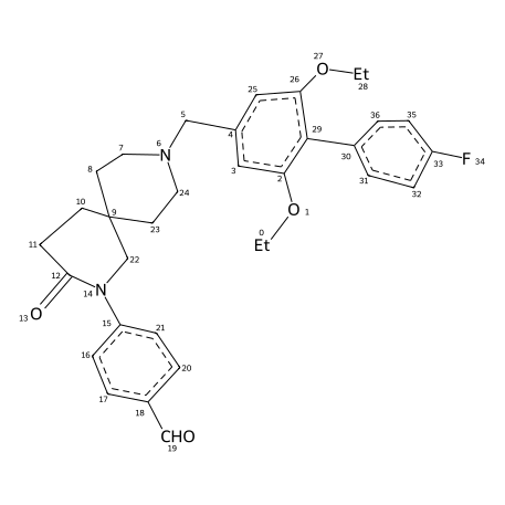 CCOc1cc(CN2CCC3(CCC(=O)N(c4ccc(C=O)cc4)C3)CC2)cc(OCC)c1-c1ccc(F)cc1